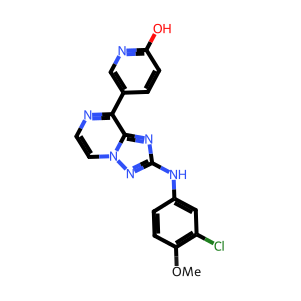 COc1ccc(Nc2nc3c(-c4ccc(O)nc4)nccn3n2)cc1Cl